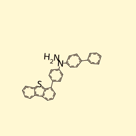 NN(c1ccc(-c2ccccc2)cc1)c1ccc(-c2cccc3c2sc2ccccc23)cc1